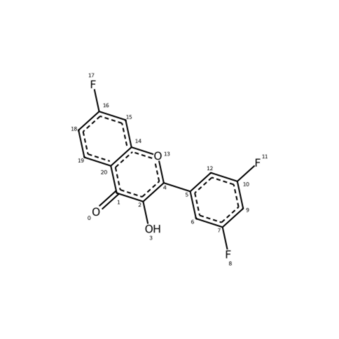 O=c1c(O)c(-c2cc(F)cc(F)c2)oc2cc(F)ccc12